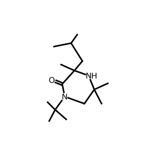 CC(C)CC1(C)NC(C)(C)CN(C(C)(C)C)C1=O